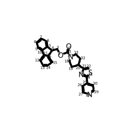 O=C(OCC1c2ccccc2-c2ccccc21)N1CCC(c2csc(-c3ccncc3)n2)CC1